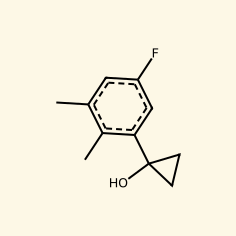 Cc1cc(F)cc(C2(O)CC2)c1C